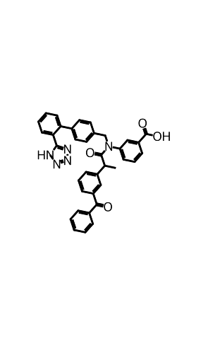 CC(C(=O)N(Cc1ccc(-c2ccccc2-c2nnn[nH]2)cc1)c1cccc(C(=O)O)c1)c1cccc(C(=O)c2ccccc2)c1